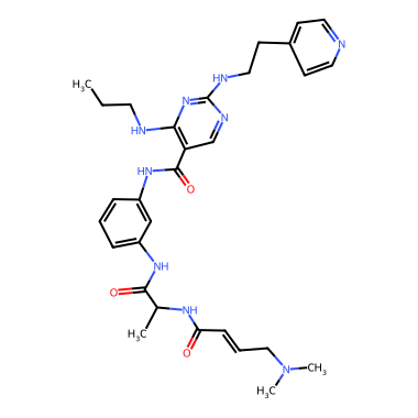 CCCNc1nc(NCCc2ccncc2)ncc1C(=O)Nc1cccc(NC(=O)C(C)NC(=O)C=CCN(C)C)c1